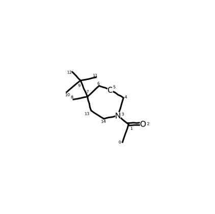 CC(=O)N1CCCC(C)(C(C)(C)C)CC1